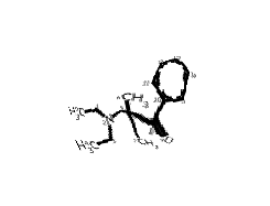 CCN(CC)C(C)(C)C(=O)c1ccccc1